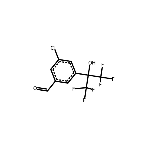 O=Cc1cc(Cl)cc(C(O)(C(F)(F)F)C(F)(F)F)c1